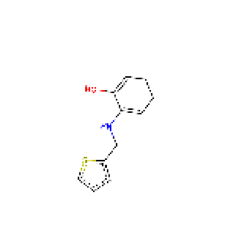 OC1=CCCC=C1NCc1cccs1